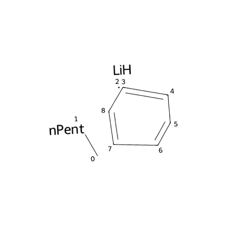 CCCCCC.[LiH].[c]1ccccc1